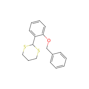 c1ccc(COc2ccccc2C2SCCCS2)cc1